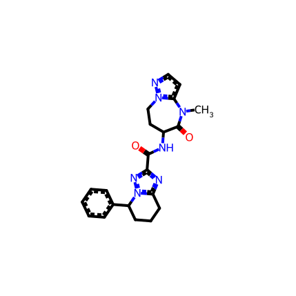 CN1C(=O)C(NC(=O)c2nc3n(n2)C(c2ccccc2)CCC3)CCn2nccc21